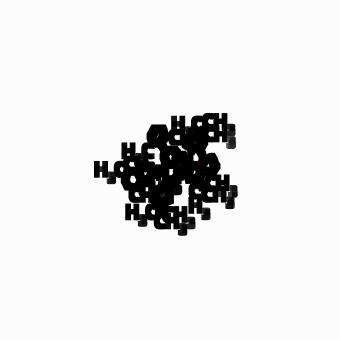 Cc1cccc(C)c1-c1cc2c3c(c1)N(c1ccc4c(c1)C(C)(C)CCC4(C)C)c1c(sc4cc(C(C)(C)C)ccc14)B3c1cc(C(C)(C)C)ccc1N2c1ccc(C(C)(C)C)cc1-c1ccccc1